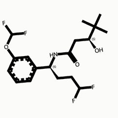 CC(C)(C)[C@@H](O)CC(=O)N[C@@H](CCC(F)F)c1cccc(OC(F)F)c1